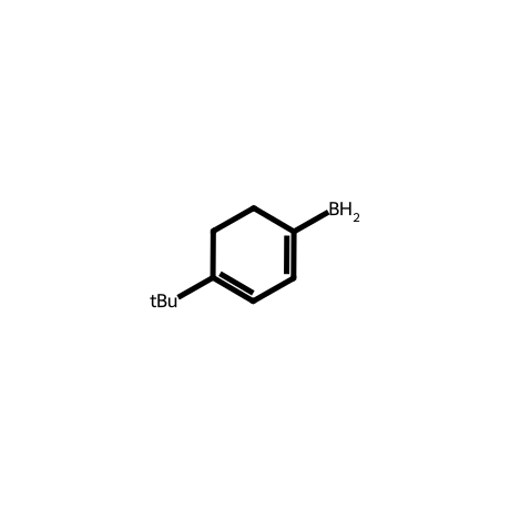 BC1=CC=C(C(C)(C)C)CC1